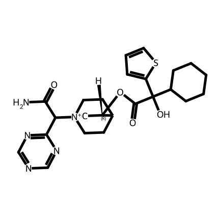 NC(=O)C(c1ncncn1)[N+]12CCC(CC1)[C@@H](OC(=O)C(O)(c1cccs1)C1CCCCC1)C2